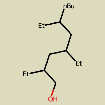 CCCCC(CC)CC(CC)CC(CC)CO